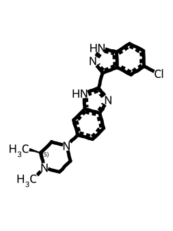 C[C@H]1CN(c2ccc3nc(-c4n[nH]c5ccc(Cl)cc45)[nH]c3c2)CCN1C